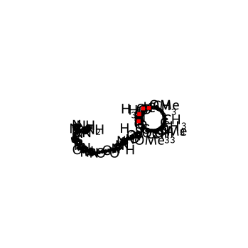 CO[C@H]1C[C@@H]2CC[C@@H](C)[C@@](O)(O2)C(=O)C(=O)N2CCCC[C@H]2C(=O)O[C@H]([C@H](C)C[C@@H]2CC[C@@H](OC(=O)NCc3cnc(N4CCN(C(=O)CCOCCOCCN5CCN(c6ncc(C(=O)N7CCc8cc(Cn9nc(-c%10cnc%11[nH]ccc%11c%10)c%10c(N)ncnc%109)ccc8C7)cn6)CC5)CC4)nc3)[C@H](OC)C2)CC(=O)[C@H](C)/C=C(\C)[C@@H](O)[C@@H](OC)C(=O)[C@H](C)C[C@H](C)/C=C/C=C/C=C/1C